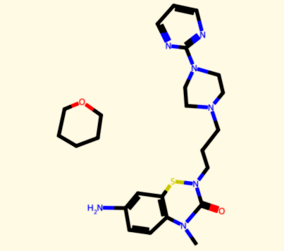 C1CCOCC1.CN1C(=O)N(CCCN2CCN(c3ncccn3)CC2)Sc2cc(N)ccc21